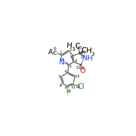 CC(=O)c1cc2c(c(-c3ccc(F)c(Cl)c3)n1)C(=O)NC2(C)C